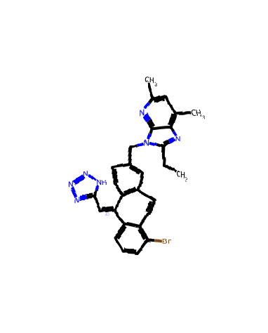 CCc1nc2c(C)cc(C)nc2n1Cc1ccc2c(c1)C=Cc1c(Br)cccc1/C2=C/c1nnn[nH]1